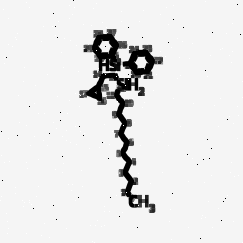 CCCCCCCCCCCC[SiH2]C(CC1CC1)[SiH](c1ccccc1)c1ccccc1